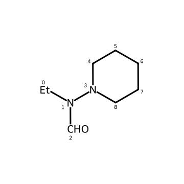 CCN(C=O)N1CCCCC1